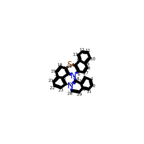 c1ccc2c(N3c4ccc5ccccc5c4Sc4ccc5ccccc5c43)nccc2c1